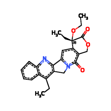 CCO[C@]1(CC)C(=O)OCc2c1cc1n(c2=O)Cc2c-1nc1ccccc1c2CC